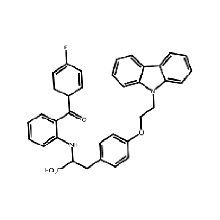 O=C(c1ccccc1NC(Cc1ccc(OCCn2c3ccccc3c3ccccc32)cc1)C(=O)O)C1C=CC(F)=CC1